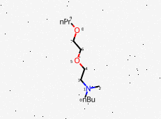 CCCCN(C)CCOCCOCCC